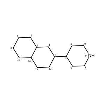 C1CCC2CC(C3CCNCC3)CCC2C1